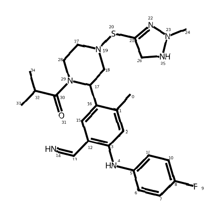 Cc1cc(Nc2ccc(F)cc2)c(C=N)cc1C1CN(SC2=NN(C)NC2)CCN1C(=O)C(C)C